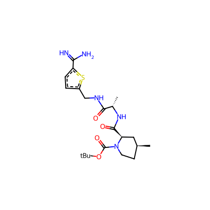 C[C@H]1CCN(C(=O)OC(C)(C)C)[C@@H](C(=O)N[C@@H](C)C(=O)NCc2ccc(C(=N)N)s2)C1